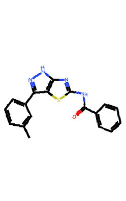 Cc1cccc(-c2n[nH]c3nc(NC(=O)c4ccccc4)sc23)c1